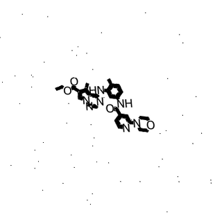 CCOC(=O)c1cn2ncnc(Nc3cc(NC(=O)c4ccnc(N5CCOCC5)c4)ccc3C)c2c1C